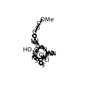 COCCOCCOCCO[C@H]1CC[C@H](c2nccc(COc3ccc4cc3C[C@H](C(=O)O)Oc3ncnc5sc(-c6ccc(F)cc6)c(c35)-c3c(C)c(Cl)c(c(Cl)c3C)O[C@H](CN3CCN(C)CC3)CO4)n2)CC1